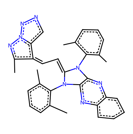 Cc1cccc(C)c1N1C(=C/C=c2/c(C)nn3nncc23)N(c2c(C)cccc2C)c2nc3ccccc3nc21